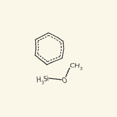 CO[SiH3].c1ccccc1